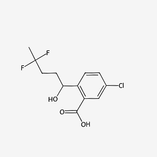 CC(F)(F)CCC(O)c1ccc(Cl)cc1C(=O)O